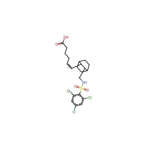 O=C(O)CCC/C=C\C1C2CCC(CC2)C1CNS(=O)(=O)c1c(Cl)cc(Cl)cc1Cl